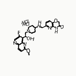 COc1ccc2ncc(F)c(C(O)CN3CCC(NCc4ccc5c(n4)NC(=O)CO5)CC3)c2n1.Cl.Cl